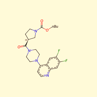 CCCCOC(=O)N1CC[C@H](C(=O)N2CCN(c3ccnc4cc(F)c(F)cc34)CC2)C1